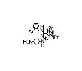 CC(=O)c1ccccc1CNc1nc(NC2CCC(N)CC2)nc2c1N(C(C)C)NN2C(C)C